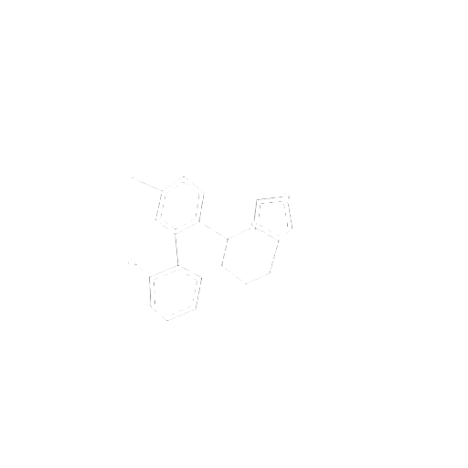 Fc1ccc(C2CCCc3cncn32)c(-c2ccccc2Cl)c1